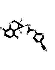 N#Cc1ccc(NC(=O)N[C@@H]2[C@@H]3COc4c(Br)ccc(F)c4[C@@H]32)nc1